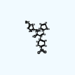 O=C(Nc1ncc(Br)s1)C(=Cc1cccs1)c1ccc([N+](=O)[O-])cc1